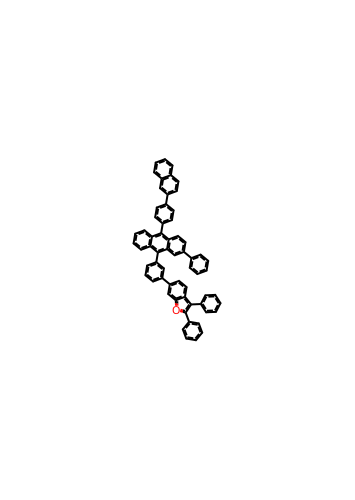 c1ccc(-c2ccc3c(-c4ccc(-c5ccc6ccccc6c5)cc4)c4ccccc4c(-c4cccc(-c5ccc6c(-c7ccccc7)c(-c7ccccc7)oc6c5)c4)c3c2)cc1